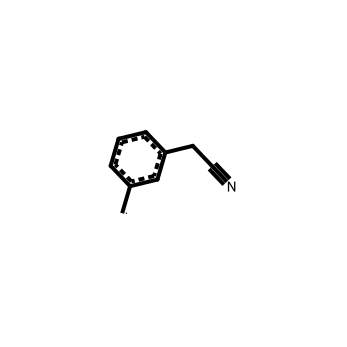 [CH2]c1cccc(CC#N)c1